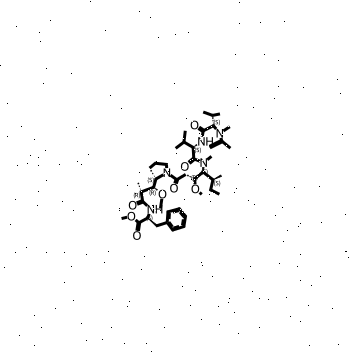 C=C(C)N(C)[C@H](C(=O)N[C@H](C(=O)N(C)[C@@H]([C@@H](C)CC)[C@@H](CC(=O)N1CCC[C@H]1[C@H](OC)[C@@H](C)C(=O)N[C@@H](Cc1ccccc1)C(=O)OC)OC)C(C)C)C(C)C